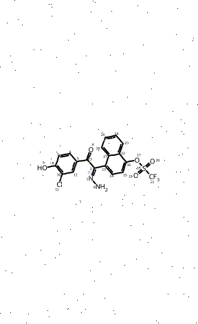 N/N=C(/C(=O)c1ccc(O)c(Cl)c1)c1ccc(OS(=O)(=O)C(F)(F)F)c2ccccc12